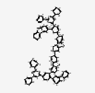 c1ccc(-c2cc(-c3ccc(-c4ccc5oc6ccccc6c5c4)c(-c4ccc5oc6cc(-c7ccc8c(c7)oc7ccc(-c9ccc(-c%10cc(-c%11ccccc%11)nc(-c%11ccccc%11)n%10)c(-c%10ccc%11oc%12ccccc%12c%11c%10)c9)cc78)ccc6c5c4)c3)nc(-c3ccccc3)n2)cc1